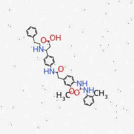 COc1cc(CC(=O)Nc2ccc(C(CC(=O)O)NCCc3ccccc3)cc2)ccc1NC(=O)Nc1ccccc1C